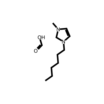 CCCCCCN1C=CN(C)C1.O=CO